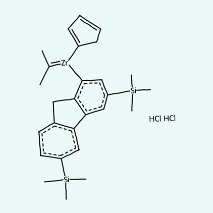 C[C](C)=[Zr]([C]1=CC=CC1)[c]1cc([Si](C)(C)C)cc2c1Cc1ccc([Si](C)(C)C)cc1-2.Cl.Cl